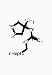 CCCCCCCCOC(=O)OC1(C)CSSC1